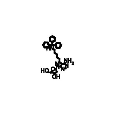 Nc1ncnc2c1c(CCCCCNC(c1ccccc1)(c1ccccc1)c1ccccc1)nn2C1C[C@H](O)[C@@H](CO)O1